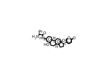 CC(C)[C@@H](N)C(=O)NC1CC[C@]2(C)[C@H]3CC[C@]4(C)[C@@H](c5ccc(=O)oc5)CC[C@]4(O)[C@@H]3CC[C@]2(O)C1